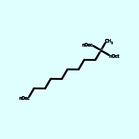 CCCCCCCCCCCCCCCCCC[Si](C)(CCCCCCCC)CCCCCCCCCC